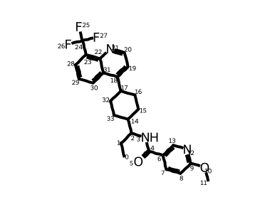 CCC(NC(=O)c1ccc(OC)nc1)C1CCC(c2ccnc3c(C(F)(F)F)cccc23)CC1